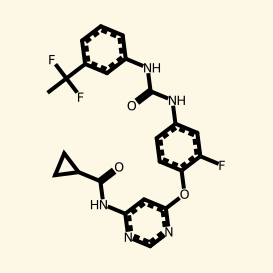 CC(F)(F)c1cccc(NC(=O)Nc2ccc(Oc3cc(NC(=O)C4CC4)ncn3)c(F)c2)c1